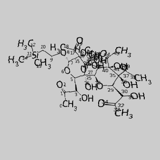 CC(=O)C(O)[C@H]1O[C@H](OCC[Si](C)(C)C)[C@@](O)(C(C)=O)[C@](O)(C(C)=O)[C@@]1(O)[C@@H]1O[C@H](C(O)C(C)=O)[C@@](O)(C(C)=O)[C@@](O)(C(C)=O)[C@]1(O)C(C)=O